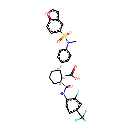 CN(c1ccc([C@H]2CCC[C@@H](C(=O)Nc3ccc(C(F)(F)F)cc3F)[C@@H]2C(=O)O)cc1)S(=O)(=O)c1ccc2occc2c1